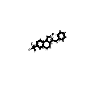 CN1CC2c3ccc(C(F)(F)F)cc3CCC2C1Cc1ccccc1